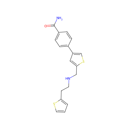 NC(=O)c1ccc(-c2csc(CNCCc3cccs3)c2)cc1